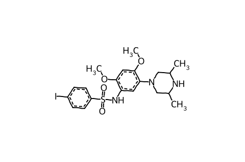 COc1cc(OC)c(N2CC(C)NC(C)C2)cc1NS(=O)(=O)c1ccc(I)cc1